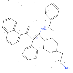 C=C(/C(=C(\N=C(/C)c1ccccc1)C1CCC(CCN)CC1)c1ccccc1)c1cccc2ccccc12